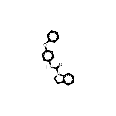 O=C(Nc1ccc(Oc2ccccc2)cc1)N1CCc2ccccc21